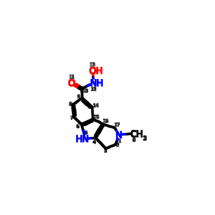 CN1CCc2[nH]c3ccc(C(=O)NO)cc3c2C1